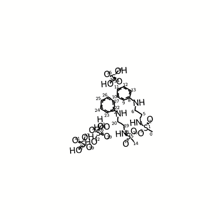 CS(=O)(=O)NCCNc1ccccc1.CS(=O)(=O)NCCNc1ccccc1.O.O=S(=O)(O)O.O=S(=O)(O)O.O=S(=O)(O)O